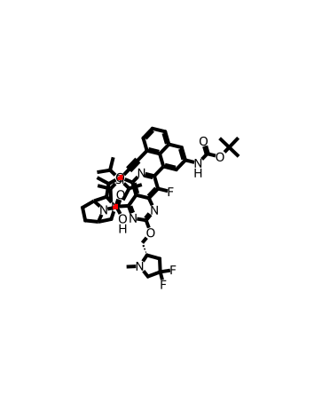 CC1Oc2nc(-c3cc(NC(=O)OC(C)(C)C)cc4cccc(C#C[Si](C(C)C)(C(C)C)C(C)C)c34)c(F)c3nc(OC[C@@H]4CC(F)(F)CN4C)nc(c23)N2CC3CCC(C12)N3C(=O)O